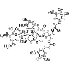 CC(C)(C)c1cc(CCC(=O)OCC(COC(=O)CCc2cc(C(C)(C)C)c(O)c(C(C)(C)C)c2)(COC(=O)CCc2cc(C(C)(C)C)c(O)c(C(C)(C)C)c2)COC(=O)CCc2cc(C(C)(C)C)c(OC(=O)C(CC(=O)O)C(CCPP)CCPP)c(C(C)(C)C)c2)cc(C(C)(C)C)c1O